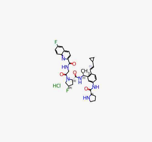 C[C@H](NC(=O)[C@@H]1C[C@@H](F)CN1C(=O)CNC(=O)c1ccc2cc(F)ccc2n1)c1cc(NC(=O)[C@H]2CCCN2)ccc1/C=C/C1CC1.Cl